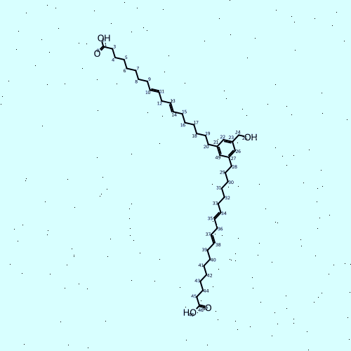 O=C(O)CCCCCCCC=CCC=CCCCCCCc1cc(CO)cc(CCCCCCC=CCC=CCCCCCCCC(=O)O)c1